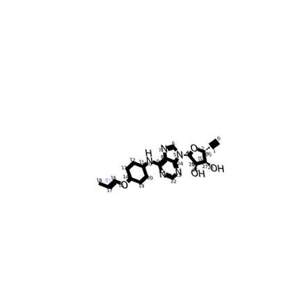 C#C[C@H]1O[C@@H](n2cnc3c(NC4CCC(O/C=C/C)CC4)ncnc32)[C@H](O)[C@@H]1O